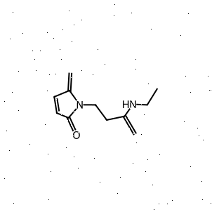 C=C(CCN1C(=C)C=CC1=O)NCC